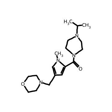 CC(C)N1CCN(C(=O)c2cc(CN3CCOCC3)cn2C)CC1